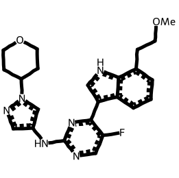 COCCc1cccc2c(-c3nc(Nc4cnn(C5CCOCC5)c4)ncc3F)c[nH]c12